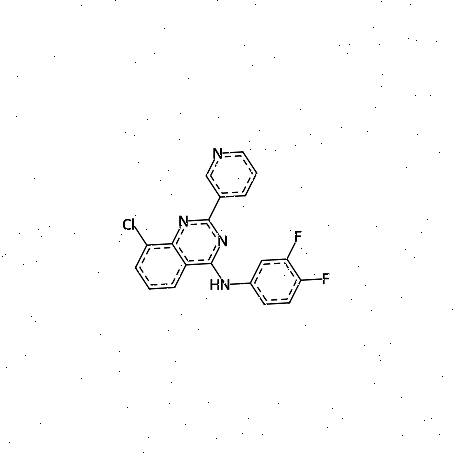 Fc1ccc(Nc2nc(-c3cccnc3)nc3c(Cl)cccc23)cc1F